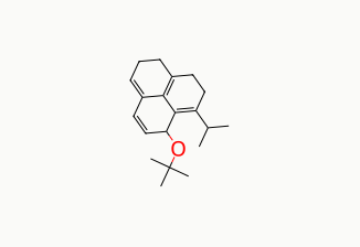 CC(C)C1=C2C3=C(CCC=C3C=CC2OC(C)(C)C)CC1